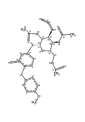 COc1ccc(Cn2ccc(S[C@H]3OC(COC(C)=O)[C@H](OC(C)=O)[C@H](N=[N+]=[N-])C3OC(C)=O)cc2=O)cc1